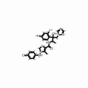 CC1=C(C(=O)NC(C)C(O)(Cn2cncn2)c2ccc(F)cc2F)SCN1Nc1ccc(Cl)cc1